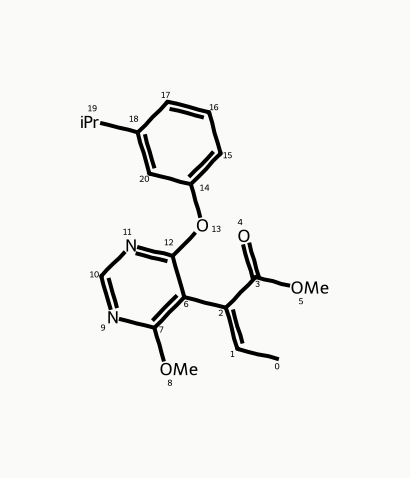 CC=C(C(=O)OC)c1c(OC)ncnc1Oc1cccc(C(C)C)c1